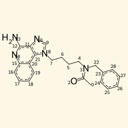 CC(=O)N(CCCCn1cnc2c(N)nc3ccccc3c21)Cc1ccccc1